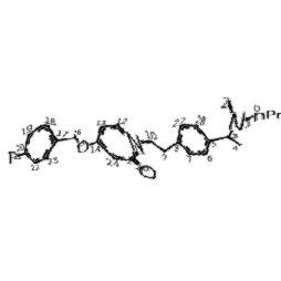 CCCN(C)C(C)c1ccc(CCn2ccc(OCc3ccc(F)cc3)cc2=O)cc1